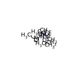 C=C(OC(C)(C)C)/C(=C(\N=C(/C)c1cccc(CCC)n1)OC(C)(C)C)C(F)(F)F